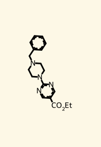 CCOC(=O)c1cnc(N2CCN(Cc3ccccc3)CC2)nc1